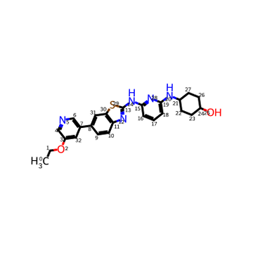 CCOc1cncc(-c2ccc3nc(Nc4cccc(NC5CCC(O)CC5)n4)sc3c2)c1